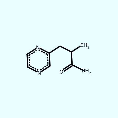 CC(Cc1cnccn1)C(N)=O